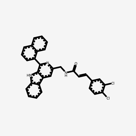 O=C(/C=C/c1ccc(Cl)c(Cl)c1)NCc1cc2c([nH]c3ccccc32)c(-c2cccc3ccccc23)n1